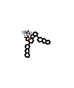 CC1=Cc2c(-c3ccc4cc5ccccc5cc4c3)cccc2[CH]1[Zr]([Cl])([Cl])([CH]1C(C)=Cc2c(-c3ccc4cc5ccccc5cc4c3)cccc21)[SiH](C)C